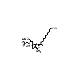 CCCCCCCCCCCCCCCCCCOC(C)c1nc(N)c2ncn(CC(COC)OCP(=O)(O)O)c2n1